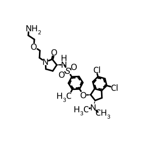 Cc1cc(S(=O)(=O)N[C@H]2CCN(CCOCCN)C2=O)ccc1O[C@H]1c2cc(Cl)cc(Cl)c2C[C@@H]1N(C)C